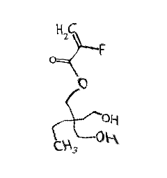 C=C(F)C(=O)OCC(CC)(CO)CO